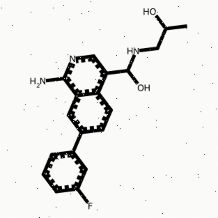 CC(O)CNC(O)c1cnc(N)c2cc(-c3cccc(F)c3)ccc12